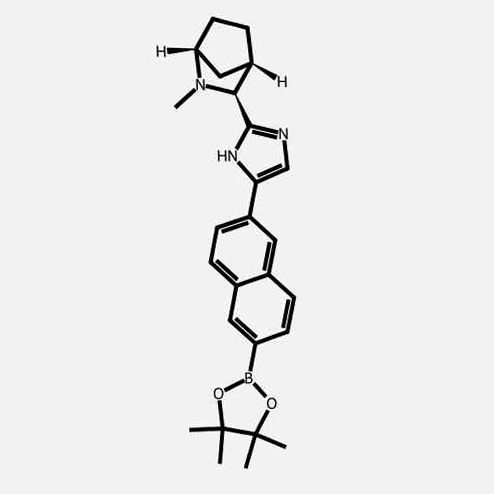 CN1[C@@H]2CC[C@@H](C2)[C@H]1c1ncc(-c2ccc3cc(B4OC(C)(C)C(C)(C)O4)ccc3c2)[nH]1